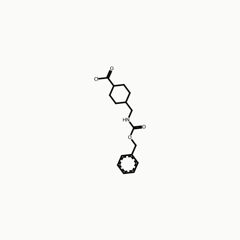 O=C(NCC1CCC(C(=O)Cl)CC1)OCc1ccccc1